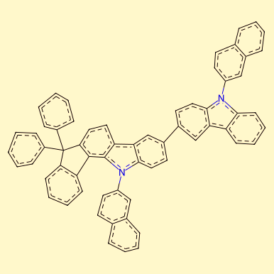 c1ccc(C2(c3ccccc3)c3ccccc3-c3c2ccc2c4cc(-c5ccc6c(c5)c5ccccc5n6-c5ccc6ccccc6c5)ccc4n(-c4ccc5ccccc5c4)c32)cc1